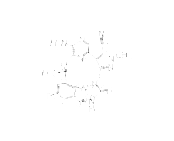 C[C@H]1Oc2nc(cnc2N)-c2c(nn(C)c2C#N)CN2C(=O)N[S+]([O-])N2c2ccc(F)cc21